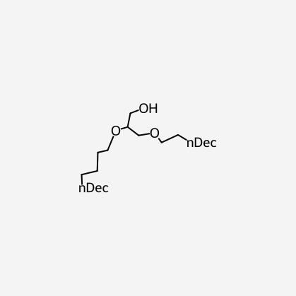 CCCCCCCCCCCCCCOC(CO)COCCCCCCCCCCCC